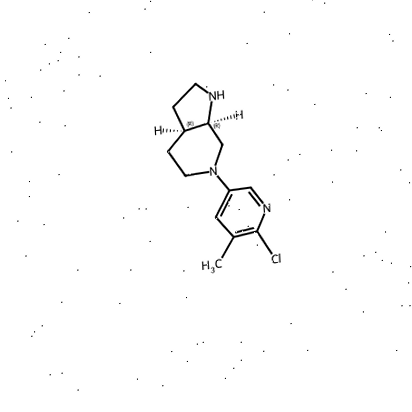 Cc1cc(N2CC[C@H]3CCN[C@H]3C2)cnc1Cl